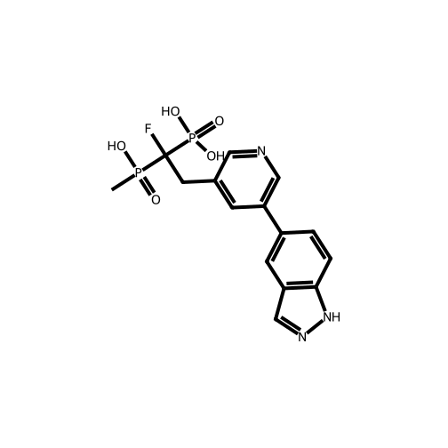 CP(=O)(O)C(F)(Cc1cncc(-c2ccc3[nH]ncc3c2)c1)P(=O)(O)O